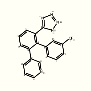 FC(F)(F)c1cccc(-c2c(-c3nnn[nH]3)[c]ccc2-c2cccnc2)c1